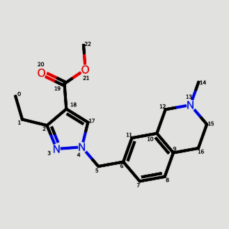 CCc1nn(Cc2ccc3c(c2)CN(C)CC3)cc1C(=O)OC